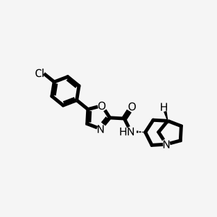 O=C(N[C@@H]1C[C@@H]2CCN(C2)C1)c1ncc(-c2ccc(Cl)cc2)o1